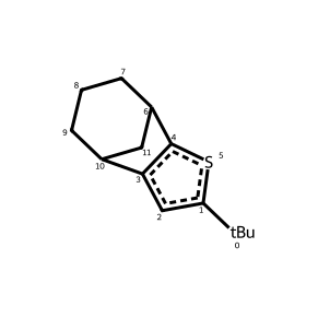 CC(C)(C)c1cc2c(s1)C1CCCC2C1